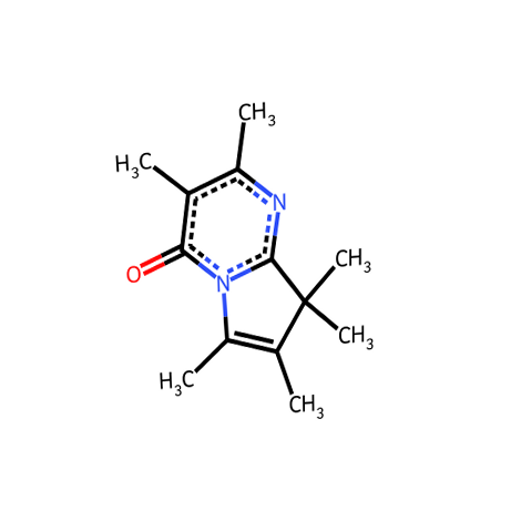 CC1=C(C)C(C)(C)c2nc(C)c(C)c(=O)n21